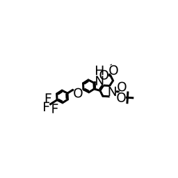 COC(=O)CC1c2[nH]c3ccc(OCc4ccc(C(F)(F)F)cc4)cc3c2CCN1C(=O)OC(C)(C)C